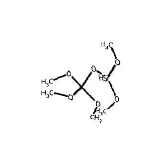 CO[SiH](OC)OC(OC)(OC)OC